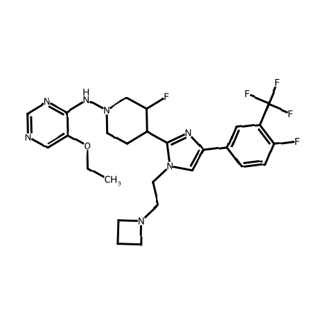 CCOc1cncnc1NN1CCC(c2nc(-c3ccc(F)c(C(F)(F)F)c3)cn2CCN2CCC2)C(F)C1